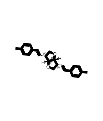 Cc1ccc(C=C[C@@H]2CO[C@H]3[C@@H]2OC[C@H]3C=Cc2ccc(C)cc2)cc1